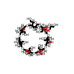 CC(O)CO.OC[C@H]1O[C@@H]2O[C@H]3[C@H](O)[C@@H](O)[C@@H](O[C@H]4[C@H](O)[C@@H](O)[C@@H](O[C@H]5[C@H](O)[C@@H](O)[C@@H](O[C@H]6[C@H](O)[C@@H](O)[C@@H](O[C@H]7[C@H](O)[C@@H](O)[C@@H](O[C@H]8[C@H](O)[C@@H](O)[C@@H](O[C@H]1[C@H](O)[C@H]2O)O[C@@H]8CO)O[C@@H]7CO)O[C@@H]6CO)O[C@@H]5CO)O[C@@H]4CO)O[C@@H]3CO